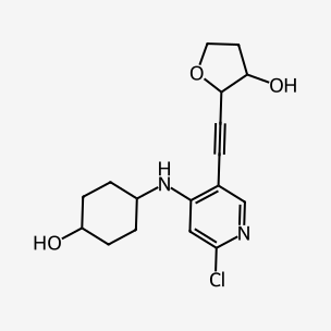 OC1CCC(Nc2cc(Cl)ncc2C#CC2OCCC2O)CC1